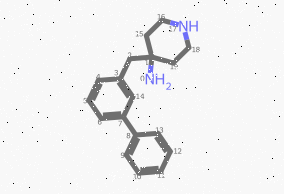 NC1(Cc2cccc(-c3ccccc3)c2)CCNCC1